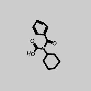 O=C(O)N(C(=O)c1ccccc1)C1CCCCC1